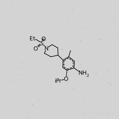 CCS(=O)(=O)N1CCC(c2cc(OC(C)C)c(N)cc2C)CC1